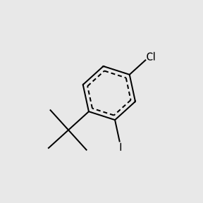 CC(C)(C)c1ccc(Cl)cc1I